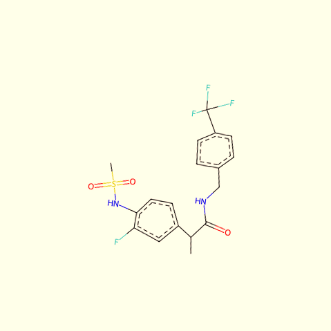 CC(C(=O)NCc1ccc(C(F)(F)F)cc1)c1ccc(NS(C)(=O)=O)c(F)c1